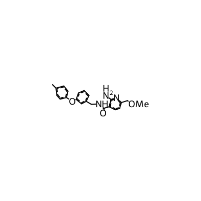 COCc1ccc(C(=O)NCc2cccc(Oc3ccc(C)cc3)c2)c(N)n1